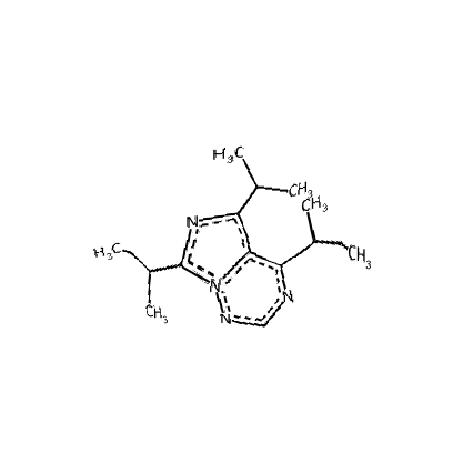 CC(C)c1ncnn2c(C(C)C)nc(C(C)C)c12